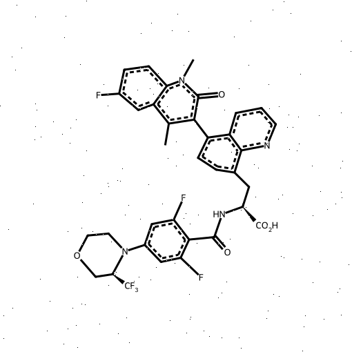 Cc1c(-c2ccc(C[C@H](NC(=O)c3c(F)cc(N4CCOC[C@@H]4C(F)(F)F)cc3F)C(=O)O)c3ncccc23)c(=O)n(C)c2ccc(F)cc12